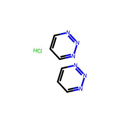 Cl.c1cnnnc1.c1cnnnc1